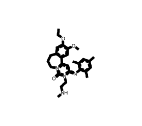 CCOc1cc2c(cc1OC)-c1c/c(=N\c3c(C)cc(C)cc3C)n(CCNC)c(=O)n1CCC2